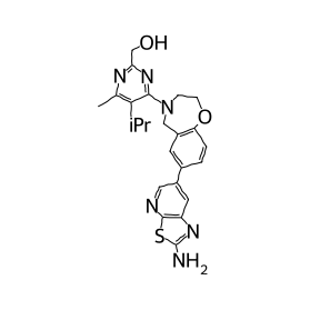 Cc1nc(CO)nc(N2CCOc3ccc(-c4cnc5sc(N)nc5c4)cc3C2)c1C(C)C